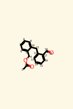 CC(=O)OCc1ccccc1Cc1ccccc1C=O